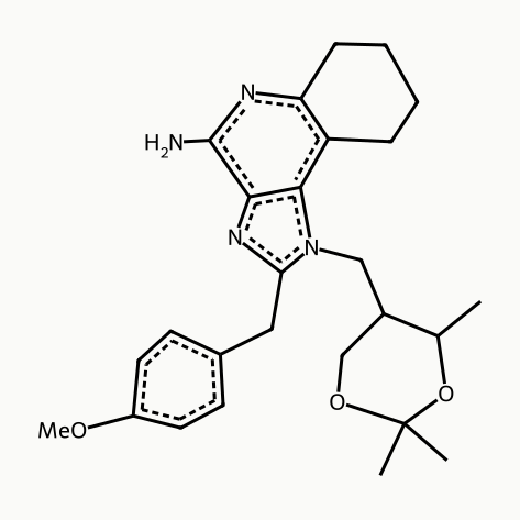 COc1ccc(Cc2nc3c(N)nc4c(c3n2CC2COC(C)(C)OC2C)CCCC4)cc1